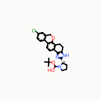 CC(C)(C)OC(O)N1CCC[C@H]1c1nc2c([nH]1)CCc1c-2ccc2c1OCc1cc(Cl)ccc1-2